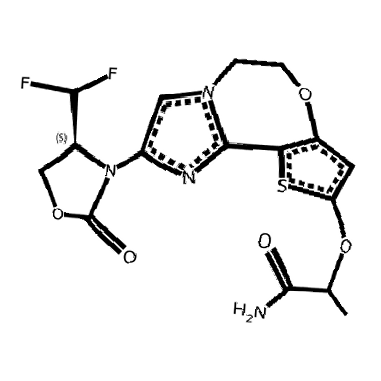 CC(Oc1cc2c(s1)-c1nc(N3C(=O)OC[C@H]3C(F)F)cn1CCO2)C(N)=O